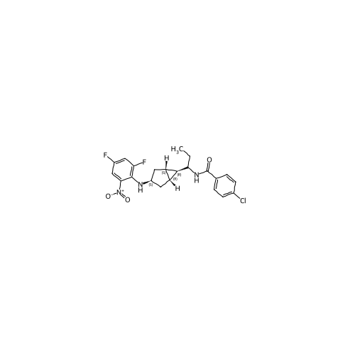 CCC(NC(=O)c1ccc(Cl)cc1)[C@H]1[C@@H]2C[C@@H](Nc3c(F)cc(F)cc3[N+](=O)[O-])C[C@@H]21